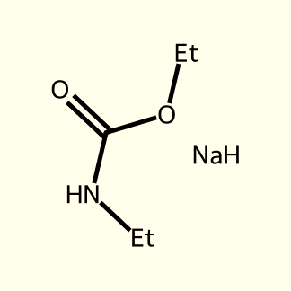 CCNC(=O)OCC.[NaH]